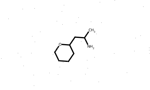 CC(N)CC1CCCCO1